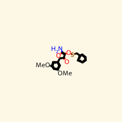 COc1cc(OC)cc(C2OC(N)=C(OSCc3ccccc3)C2=O)c1